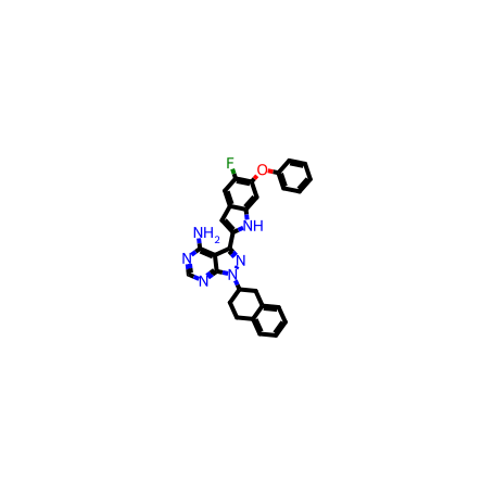 Nc1ncnc2c1c(-c1cc3cc(F)c(Oc4ccccc4)cc3[nH]1)nn2C1CCc2ccccc2C1